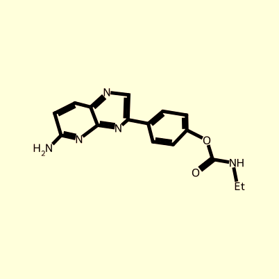 CCNC(=O)Oc1ccc(-c2cnc3ccc(N)nc3n2)cc1